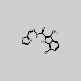 Cc1c(C(=O)N/N=C\c2nccs2)[nH]c2c(Cl)cccc12